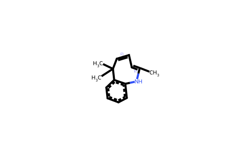 C/C1=C\C=C/C(C)(C)c2ccccc2N1